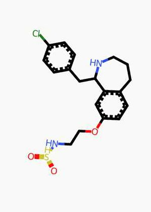 O=[SH](=O)NCCOc1ccc2c(c1)C(Cc1ccc(Cl)cc1)NCCC2